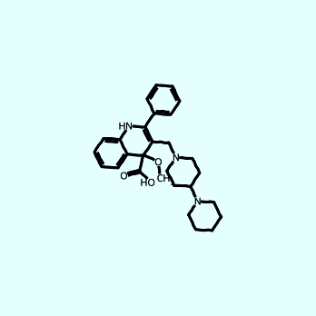 COC1(C(=O)O)C(CN2CCC(N3CCCCC3)CC2)=C(c2ccccc2)Nc2ccccc21